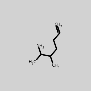 C=CCCC(C)C(C)N